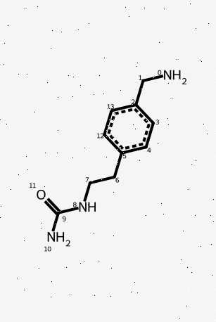 NCc1ccc(CCNC(N)=O)cc1